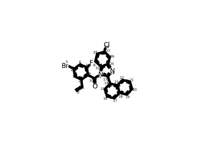 C=Cc1cc(Br)cc(F)c1C(=O)n1c(-c2cccc3ccccc23)nc2cc(Cl)ccc21